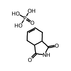 O=C1NC(=O)C2CC=CCC12.O=P(O)(O)O